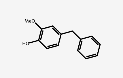 COc1cc(Cc2ccccc2)ccc1O